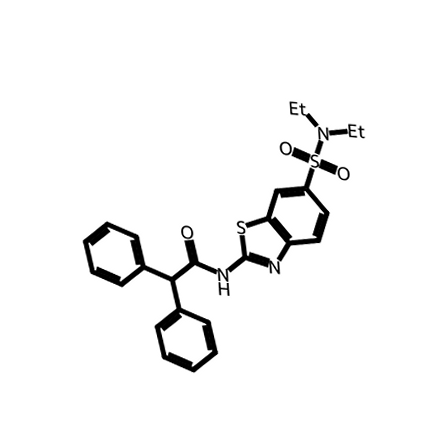 CCN(CC)S(=O)(=O)c1ccc2nc(NC(=O)C(c3ccccc3)c3ccccc3)sc2c1